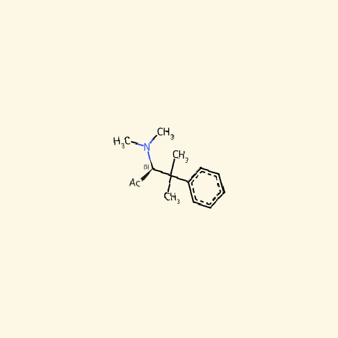 CC(=O)[C@@H](N(C)C)C(C)(C)c1ccccc1